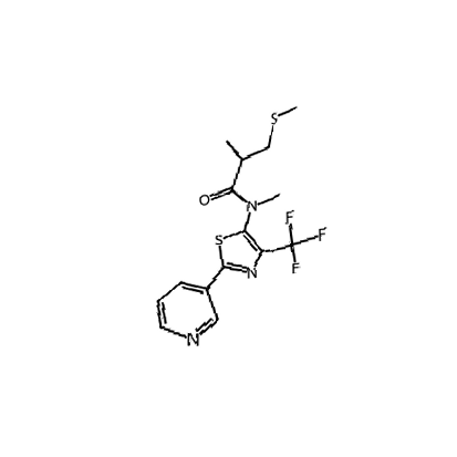 CSCC(C)C(=O)N(C)c1sc(-c2cccnc2)nc1C(F)(F)F